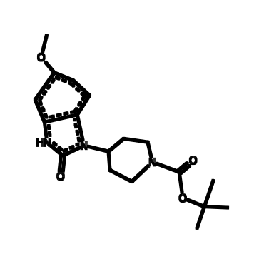 COc1ccc2c(c1)[nH]c(=O)n2C1CCN(C(=O)OC(C)(C)C)CC1